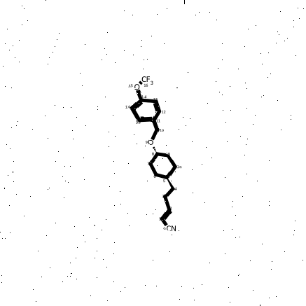 N#CC=CCC[C@H]1CC[C@H](OCc2ccc(OC(F)(F)F)cc2)CC1